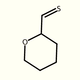 S=CC1CCCCO1